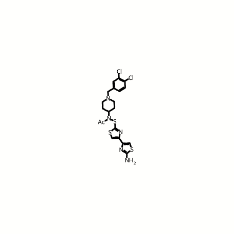 CC(=O)N(Sc1nc(-c2csc(N)n2)cs1)C1CCN(Cc2ccc(Cl)c(Cl)c2)CC1